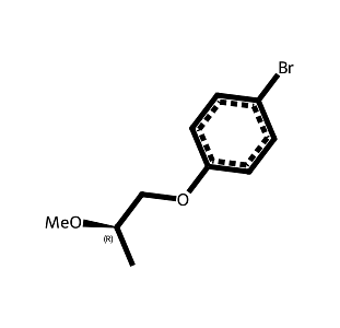 CO[C@H](C)COc1ccc(Br)cc1